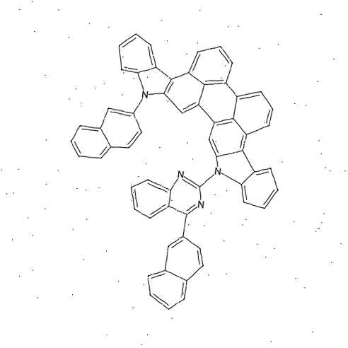 c1ccc2cc(-c3nc(-n4c5ccccc5c5c6cccc7c8cccc9c8c(cc8c9c9ccccc9n8-c8ccc9ccccc9c8)c(cc54)c76)nc4ccccc34)ccc2c1